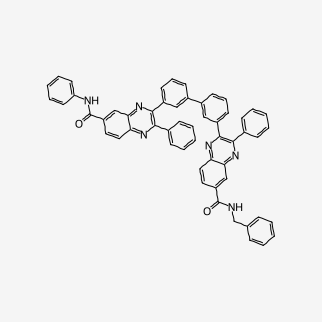 O=C(NCc1ccccc1)c1ccc2nc(-c3cccc(-c4cccc(-c5nc6cc(C(=O)Nc7ccccc7)ccc6nc5-c5ccccc5)c4)c3)c(-c3ccccc3)nc2c1